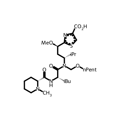 CCCCCOCN(C(=O)[C@@H](NC(=O)[C@H]1CCCCN1C)C(C)CC)[C@H](C[C@@H](OC)c1nc(C(=O)O)cs1)C(C)C